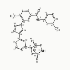 Cc1ccc(C(=O)Nc2cc(C(F)(F)F)ccn2)cc1-n1cc(-c2cncc(N3C[C@@H]4C[C@H]3CN4)c2)nn1